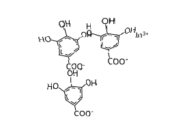 O=C([O-])c1cc(O)c(O)c(O)c1.O=C([O-])c1cc(O)c(O)c(O)c1.O=C([O-])c1cc(O)c(O)c(O)c1.[In+3]